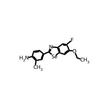 CCOc1cc2[se]c(-c3ccc(N)c(C)c3)nc2cc1F